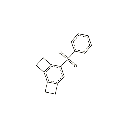 O=S(=O)(c1ccccc1)c1cc2c(c3c1CC3)CC2